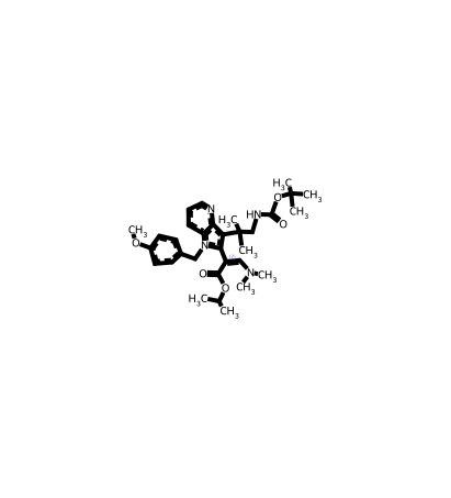 COc1ccc(Cn2c(/C(=C/N(C)C)C(=O)OC(C)C)c(C(C)(C)CNC(=O)OC(C)(C)C)c3ncccc32)cc1